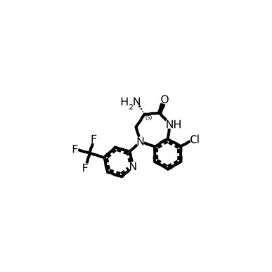 N[C@H]1CN(c2cc(C(F)(F)F)ccn2)c2cccc(Cl)c2NC1=O